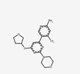 Nc1cc(C(F)(F)F)c(-c2cc(OC3CCOC3)nc(N3CCOCC3)n2)cn1